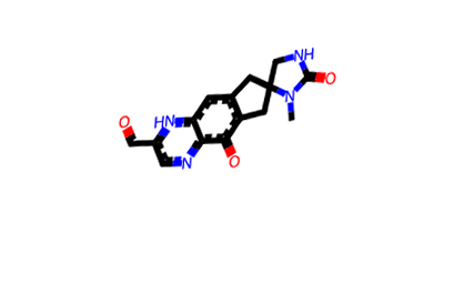 CN1C(=O)NCC12Cc1cc3[nH]c(C=O)cnc-3c(=O)c1C2